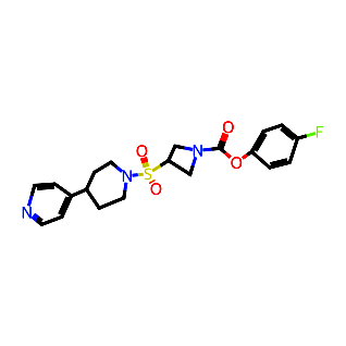 O=C(Oc1ccc(F)cc1)N1CC(S(=O)(=O)N2CCC(c3ccncc3)CC2)C1